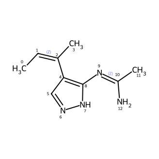 C/C=C(/C)c1cn[nH]c1/N=C(/C)N